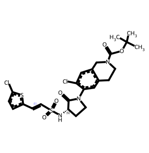 CC(C)(C)OC(=O)N1CCc2cc(N3CC[C@H](NS(=O)(=O)/C=C/c4ccc(Cl)s4)C3=O)c(Cl)cc2C1